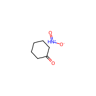 O=C1CCCCC1.O=[NH+][O-]